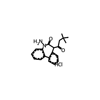 CC(C)(C)CC(=O)C1C(=O)N(N)c2ccccc2-c2ccccc21.Cl